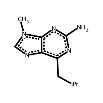 CC(C)Cc1nc(N)nc2c1ncn2C